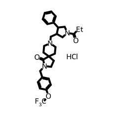 CCC(=O)N1CC(CN2CCC3(CC2)CCN(Cc2ccc(OC(F)(F)F)cc2)C3=O)C(c2ccccc2)C1.Cl